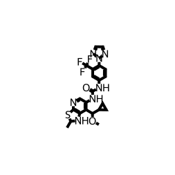 COC(c1c(NC(=O)Nc2ccc(-n3nccn3)c(C(F)(F)F)c2)cnc2c1NC(C)S2)C1CC1